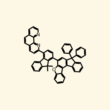 CC1(C)c2ccccc2-c2c(-c3ccc4ccc5cccnc5c4n3)ccc(-c3cc4c(c5c3oc3ccccc35)-c3ccccc3C4(c3ccccc3)c3ccccc3)c21